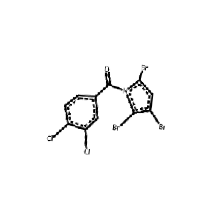 O=C(c1ccc(Cl)c(Cl)c1)n1c(Br)cc(Br)c1Br